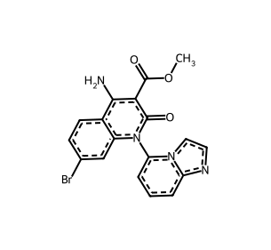 COC(=O)c1c(N)c2ccc(Br)cc2n(-c2cccc3nccn23)c1=O